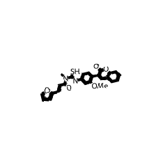 COc1cc(/N=C(\S)N(C)C(=O)/C=C/c2ccco2)ccc1-c1cc2ccccc2oc1=O